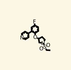 CCS(=O)(=O)N1CCC(Oc2ccc(F)cc2-c2ccncc2)C1